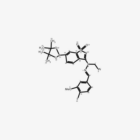 COc1cc(/C=N/N(CC(C)C)C2=NS(=O)(=O)c3cc(B4OC(C)(C)C(C)(C)O4)ccc32)ccc1F